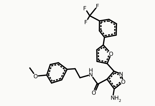 COc1ccc(CCNC(=O)c2c(-c3ccc(-c4cccc(C(F)(F)F)c4)o3)noc2N)cc1